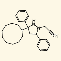 C#CCN1NC(c2ccccc2)(C2CCCCCCCCC2)CC1c1ccccc1